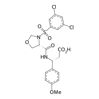 COc1ccc([C@@H](CC(=O)O)NC(=O)[C@@H]2COCN2S(=O)(=O)c2cc(Cl)cc(Cl)c2)cc1